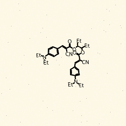 CCC(OC(=O)/C(C#N)=C/c1ccc(N(CC)CC)cc1)C(CC)OC(=O)/C(C#N)=C/c1ccc(N(CC)CC)cc1